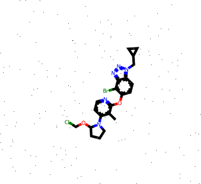 Cc1c(N2CCCC2OCCl)ccnc1Oc1ccc2c(nnn2CC2CC2)c1Br